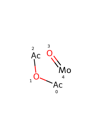 CC(=O)OC(C)=O.[O]=[Mo]